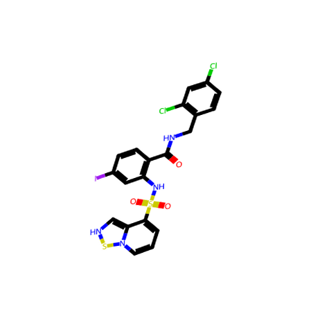 O=C(NCc1ccc(Cl)cc1Cl)c1ccc(I)cc1NS(=O)(=O)C1=CC=CN2SNC=C12